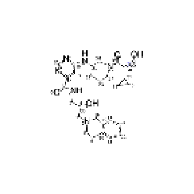 O=C(NC[C@H](O)CN1CCc2ccccc2C1)c1cc(NC2CCCN(C(=O)/C(=N\O)C3CC3)C2)ncn1